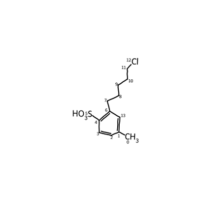 Cc1ccc(S(=O)(=O)O)c(CCCCCCl)c1